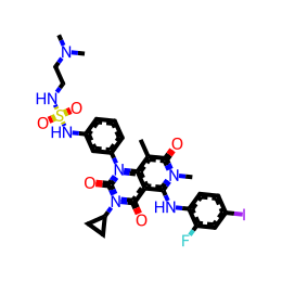 Cc1c(=O)n(C)c(Nc2ccc(I)cc2F)c2c(=O)n(C3CC3)c(=O)n(-c3cccc(NS(=O)(=O)NCCN(C)C)c3)c12